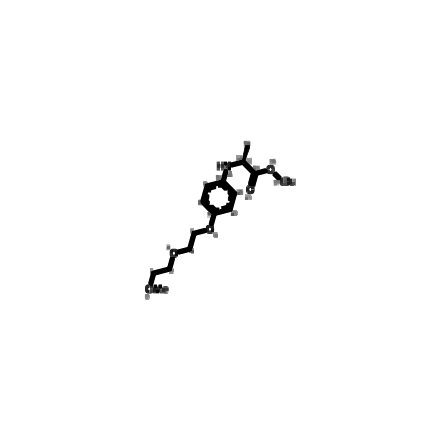 COCCOCCOc1ccc(N[C@@H](C)C(=O)OC(C)(C)C)cc1